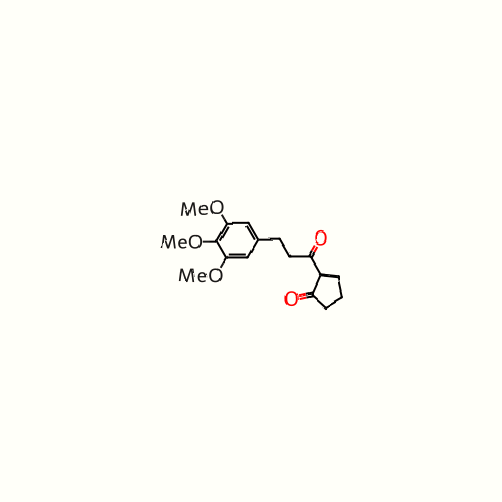 COc1cc(CCC(=O)C2CCCC2=O)cc(OC)c1OC